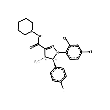 O=C(NN1CCCCC1)C1=NN(c2ccc(Cl)cc2Cl)[C@@H](c2ccc(Cl)cc2)[C@@H]1C(F)(F)F